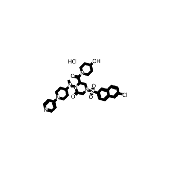 CN(C1CCN(c2ccncc2)CC1)N1C(=O)CN(S(=O)(=O)c2ccc3cc(Cl)ccc3c2)CC1C(=O)N1CCC(O)CC1.Cl